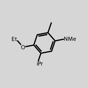 CCOc1cc(C)c(NC)cc1C(C)C